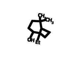 CCC12CCC1C(C)(C)CCC2O